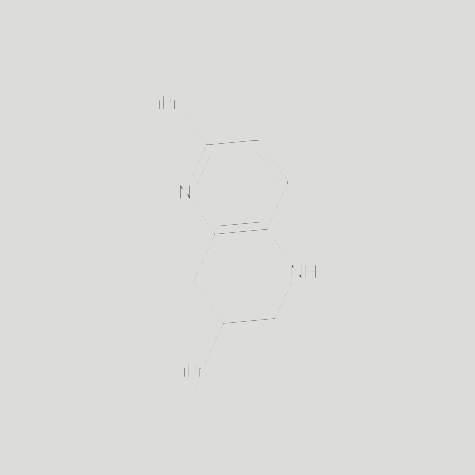 CC(C)c1ccc2c(n1)CC(C(C)C)CN2